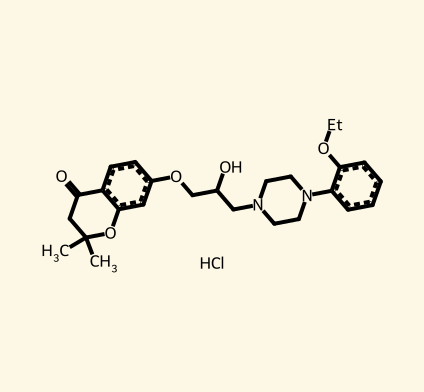 CCOc1ccccc1N1CCN(CC(O)COc2ccc3c(c2)OC(C)(C)CC3=O)CC1.Cl